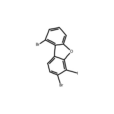 Brc1ccc2c(oc3cccc(Br)c32)c1I